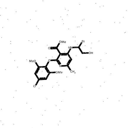 CCC(CO)Nc1cc(C)nc(Oc2c(OC)cc(Cl)cc2OC)c1C(=O)OC